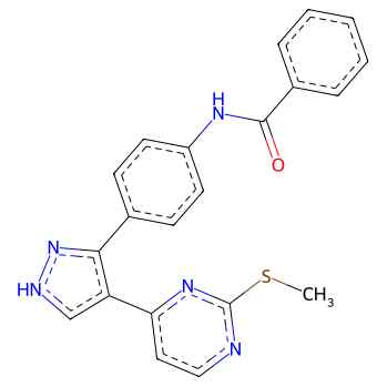 CSc1nccc(-c2c[nH]nc2-c2ccc(NC(=O)c3ccccc3)cc2)n1